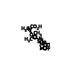 Cc1cc(-c2nnc(N(CC3CC3)C(=O)c3cccc(F)c3Cl)s2)cc(C)c1OCCN(C)CC(=O)O